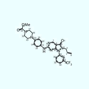 C=CCn1c(=O)c2cnc(Nc3ccc(N4CCN(C(=O)OC)CC4)cc3)nc2n1-c1cccc(C(F)(F)F)n1